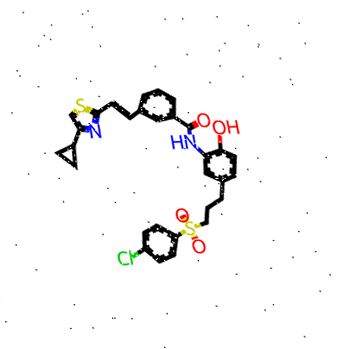 O=C(Nc1cc(CCCS(=O)(=O)c2ccc(Cl)cc2)ccc1O)c1cccc(C=Cc2nc(C3CC3)cs2)c1